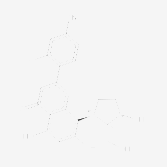 Cc1cc(C#N)ccc1-c1cc(=O)c2c(O)cc(O)c([C@H]3CCN(C)[C@@H]3CO)c2o1